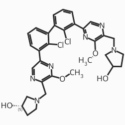 COc1nc(-c2cccc(-c3cccc(-c4cnc(CN5CC[C@H](O)C5)c(OC)n4)c3Cl)c2Cl)cnc1CN1CCC(O)C1